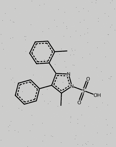 Cc1ccccc1-c1nn(S(=O)(=O)O)c(C)c1-c1ccccc1